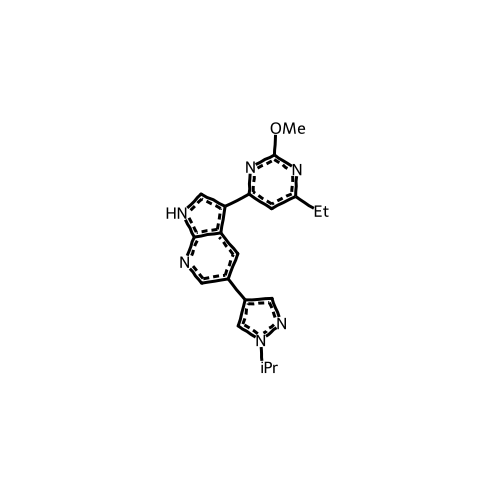 CCc1cc(-c2c[nH]c3ncc(-c4cnn(C(C)C)c4)cc23)nc(OC)n1